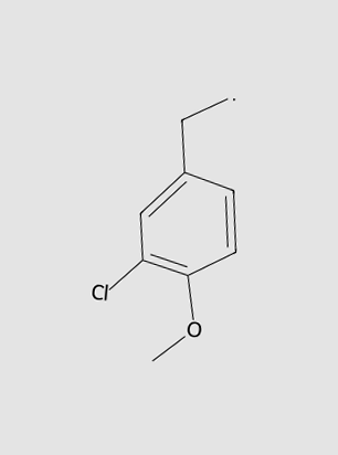 [CH2]Cc1ccc(OC)c(Cl)c1